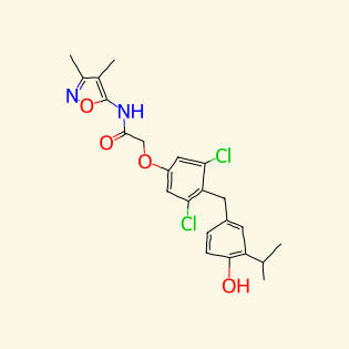 Cc1noc(NC(=O)COc2cc(Cl)c(Cc3ccc(O)c(C(C)C)c3)c(Cl)c2)c1C